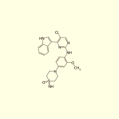 COc1cc(N2CCS(=N)(=O)CC2)ccc1Nc1ncc(Cl)c(-c2c[nH]c3ccccc23)n1